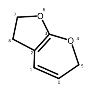 C1=CC2=C(OC1)OCC2